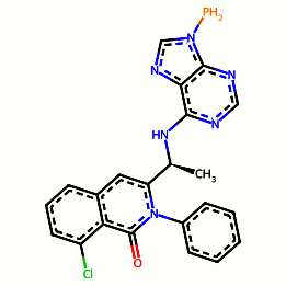 C[C@H](Nc1ncnc2c1ncn2P)c1cc2cccc(Cl)c2c(=O)n1-c1ccccc1